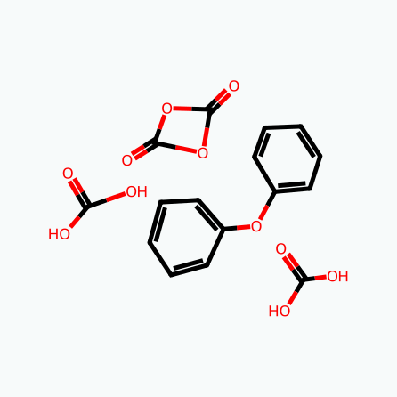 O=C(O)O.O=C(O)O.O=C1OC(=O)O1.c1ccc(Oc2ccccc2)cc1